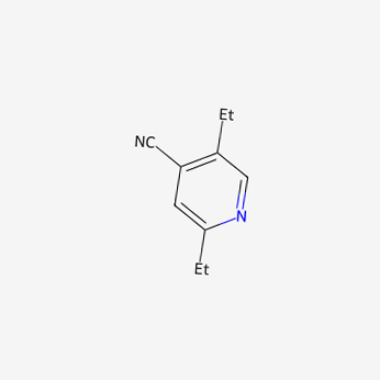 CCc1cc(C#N)c(CC)cn1